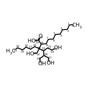 CCCCCCCCCC(C(=O)O)C(CO)(CCCCCC)C(CCO)C(CO)CO